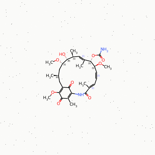 COC1=C2C[C@@H](C)C[C@H](OC)[C@H](O)[C@@H](C)/C=C(\C)[C@H](OC(N)=O)[C@@H](OC)/C=C\C=C(/C)C(=O)NC(=C(C)C1=O)C2=O